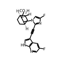 O=C(O)[C@@H]1C(n2cc(F)nc2C#Cc2c[nH]c3ncc(F)cc23)[C@H]2CC[C@@H]1CC2